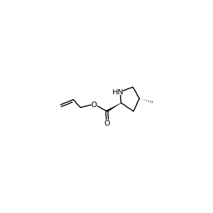 C=CCOC(=O)[C@@H]1C[C@@H](C)CN1